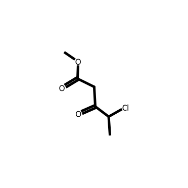 COC(=O)CC(=O)C(C)Cl